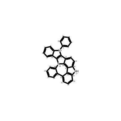 c1ccc(-n2c3ccccc3c3c2c2ccc4[nH]c5cccc6c7ccccc7n3c2c4c56)cc1